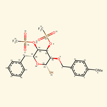 COc1ccc(CO[C@@H]2[C@H](OS(=O)(=O)C(F)(F)F)[C@H](OS(=O)(=O)C(F)(F)F)[C@@H](Cc3ccccc3)O[C@H]2S)cc1